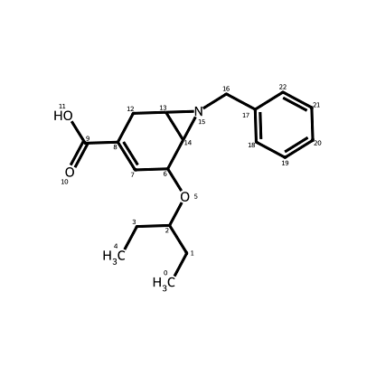 CCC(CC)OC1C=C(C(=O)O)CC2C1N2Cc1ccccc1